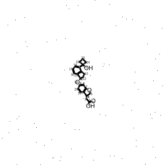 O=C(O)C[C@@H]1COc2cc(O[C@@H]3CCc4c3cccc4C3(O)CCC3)ccc21